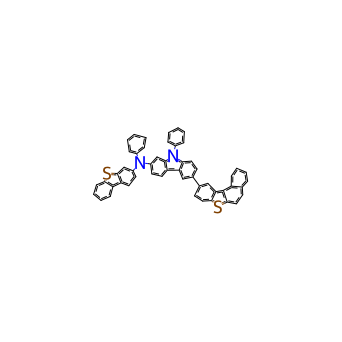 c1ccc(N(c2ccc3c(c2)sc2ccccc23)c2ccc3c4cc(-c5ccc6sc7ccc8ccccc8c7c6c5)ccc4n(-c4ccccc4)c3c2)cc1